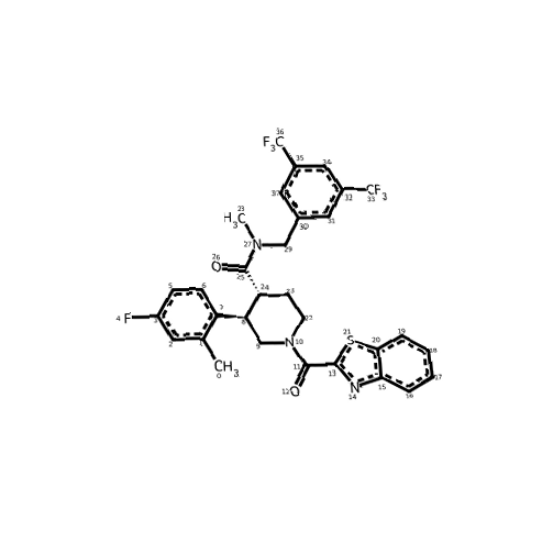 Cc1cc(F)ccc1[C@@H]1CN(C(=O)c2nc3ccccc3s2)CC[C@H]1C(=O)N(C)Cc1cc(C(F)(F)F)cc(C(F)(F)F)c1